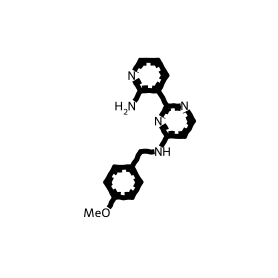 COc1ccc(CNc2ccnc(-c3cccnc3N)n2)cc1